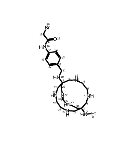 CCNC12CNCCNCC(NCc3ccc(NC(=O)CBr)cc3)(CNCCNC1)CNCCNC2